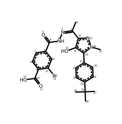 CC(=NNC(=O)c1ccc(C(=O)O)c(Br)c1)c1nn(C)c(-c2ccc(C(C)(C)C)cc2)c1O